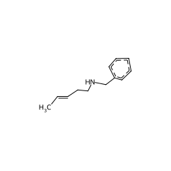 CC=CCCNCc1ccccc1